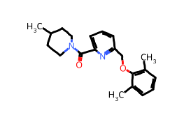 Cc1cccc(C)c1OCc1cccc(C(=O)N2CCC(C)CC2)n1